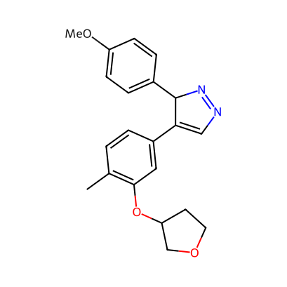 COc1ccc(C2N=NC=C2c2ccc(C)c(OC3CCOC3)c2)cc1